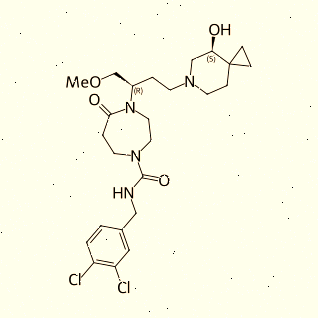 COC[C@@H](CCN1CCC2(CC2)[C@H](O)C1)N1CCN(C(=O)NCc2ccc(Cl)c(Cl)c2)CCC1=O